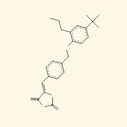 CCCc1cc(C(C)(C)C)ccc1OCc1ccc(/C=C2\SC(=S)NC2=O)cc1